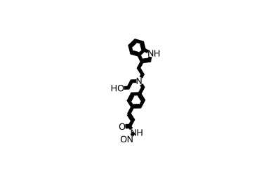 O=NNC(=O)/C=C/c1ccc(CN(CCO)CCc2c[nH]c3ccccc23)cc1